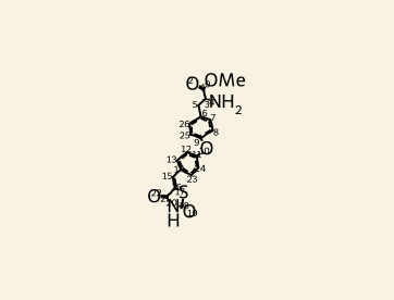 COC(=O)[C@@H](N)Cc1ccc(Oc2ccc(/C=C3\SC(=O)NC3=O)cc2)cc1